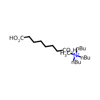 CCCC[N+](C)(CCCC)CCCC.O=C(O)CCCCCCC(=O)O